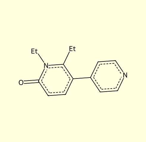 CCc1c(-c2ccncc2)ccc(=O)n1CC